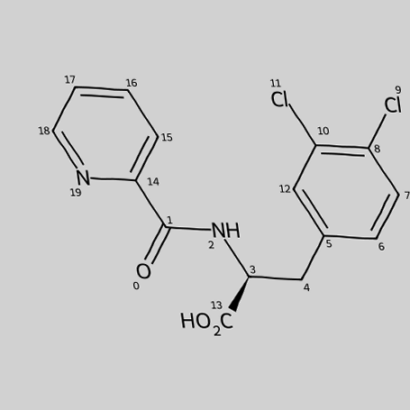 O=C(N[C@@H](Cc1ccc(Cl)c(Cl)c1)C(=O)O)c1ccccn1